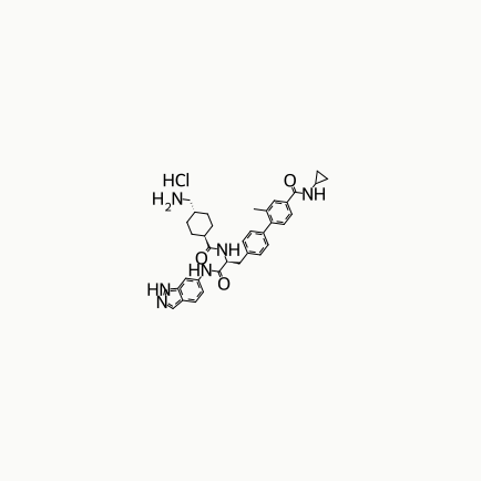 Cc1cc(C(=O)NC2CC2)ccc1-c1ccc(C[C@H](NC(=O)[C@H]2CC[C@H](CN)CC2)C(=O)Nc2ccc3cn[nH]c3c2)cc1.Cl